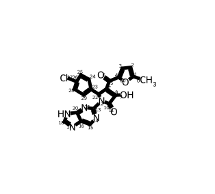 Cc1ccc(C(=O)C2=C(O)C(=O)N(c3ncc4nc[nH]c4n3)C2c2ccc(Cl)cc2)o1